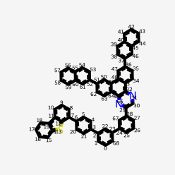 c1cc(-c2ccc(-c3cccc4c3sc3ccccc34)cc2)cc(-c2cccc(-c3cnc4c5ccc(-c6ccc7ccccc7c6)cc5c5cc(-c6ccc7ccccc7c6)ccc5c4n3)c2)c1